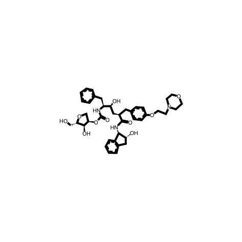 O=C(N[C@@H](Cc1ccccc1)[C@@H](O)C[C@@H](Cc1ccc(OCCN2CCOCC2)cc1)C(=O)N[C@H]1c2ccccc2C[C@H]1O)O[C@@H]1CO[C@@H](CO)[C@@H]1O